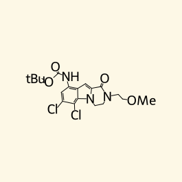 COCCN1CCn2c(cc3c(NC(=O)OC(C)(C)C)cc(Cl)c(Cl)c32)C1=O